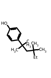 CCC(C)(C)CC(C)(C)c1ccc(O)cc1